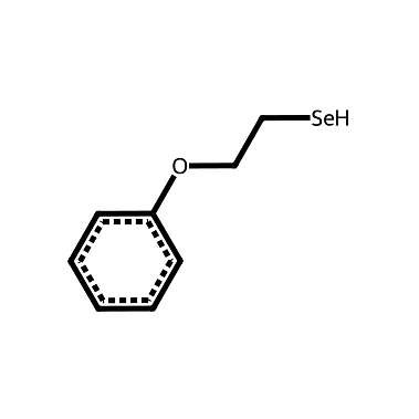 [SeH]CCOc1ccccc1